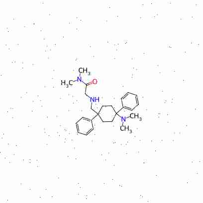 CN(C)C(=O)CNCC1(c2ccccc2)CCC(c2ccccc2)(N(C)C)CC1